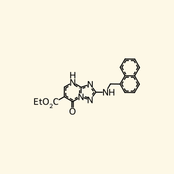 CCOC(=O)c1c[nH]c2nc(NCc3cccc4ccccc34)nn2c1=O